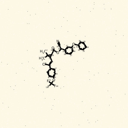 CC1(C)C(/C=C(\Cl)c2ccc(OC(F)(F)F)cc2)C1C(=O)OC(C#N)c1cccc(Oc2ccccc2)c1